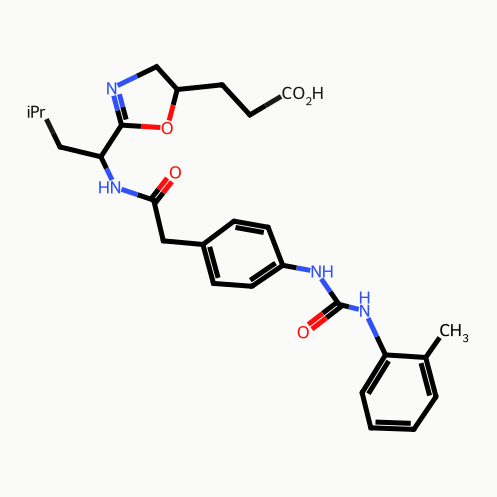 Cc1ccccc1NC(=O)Nc1ccc(CC(=O)NC(CC(C)C)C2=NCC(CCC(=O)O)O2)cc1